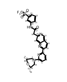 C[C@@H]1CN(c2cccc(-c3ccc4cnc(CC(=O)Nc5cccc(S(=O)(=O)C(F)(F)F)c5)cc4n3)n2)C[C@H](C)O1